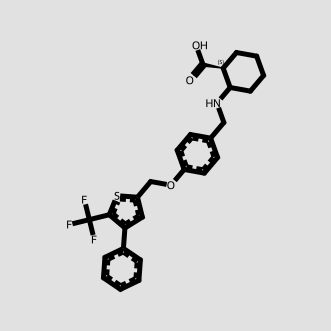 O=C(O)[C@H]1CCCCC1NCc1ccc(OCc2cc(-c3ccccc3)c(C(F)(F)F)s2)cc1